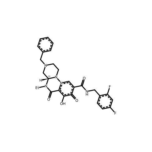 CCN1C(=O)c2c(O)c(=O)c(C(=O)NCc3ccc(F)cc3F)cn2N2CCN(Cc3ccccc3)C[C@@H]12